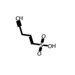 C#CCC=CS(=O)(=O)O